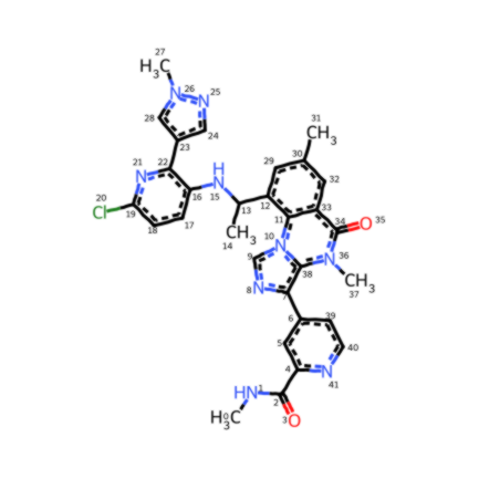 CNC(=O)c1cc(-c2ncn3c4c(C(C)Nc5ccc(Cl)nc5-c5cnn(C)c5)cc(C)cc4c(=O)n(C)c23)ccn1